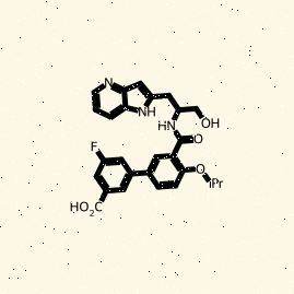 CC(C)Oc1ccc(-c2cc(F)cc(C(=O)O)c2)cc1C(=O)NC(CO)Cc1cc2ncccc2[nH]1